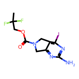 CC(F)(F)COC(=O)N1Cc2nc(N)nc(I)c2C1